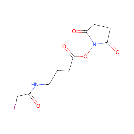 O=C(CI)NCCCC(=O)ON1C(=O)CCC1=O